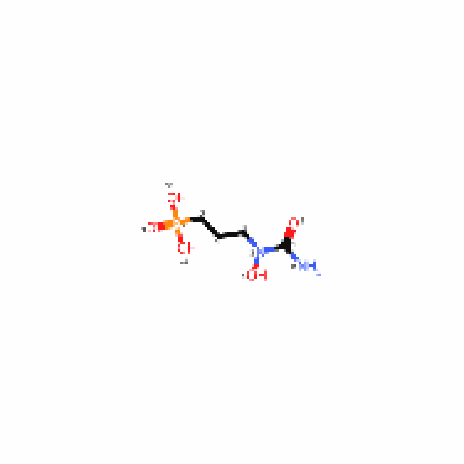 NC(=O)N(O)CCCP(=O)(O)O